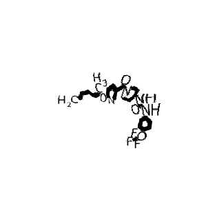 C=C/C=C\C=C(/C)Oc1ccc(C(=O)N2CCC(NC(=O)Nc3ccc(OC(F)(F)F)cc3)CC2)cn1